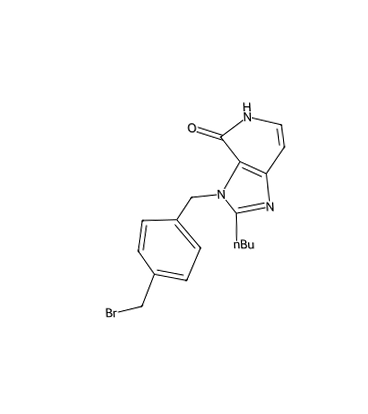 CCCCc1nc2cc[nH]c(=O)c2n1Cc1ccc(CBr)cc1